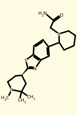 CN1CC[C@@H](c2nc3cc(C4CCCCN4CC(N)=O)ccc3s2)CC1(C)C